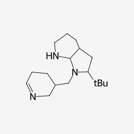 CC(C)(C)C1CC2CCCNC2N1CC1CCC=NC1